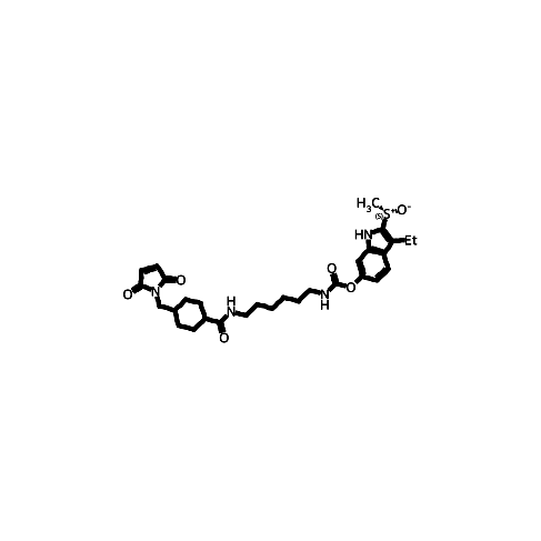 CCc1c([S@@+](C)[O-])[nH]c2cc(OC(=O)NCCCCCCNC(=O)C3CCC(CN4C(=O)C=CC4=O)CC3)ccc12